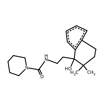 CC1(C)CCc2ccccc2C1(O)CCNC(=O)N1CCCCC1